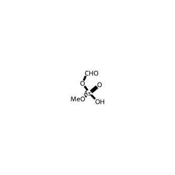 CO[As](=O)(O)OC=O